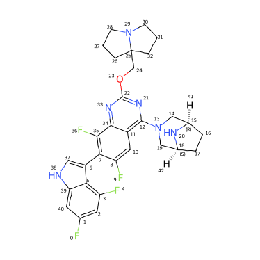 Fc1cc(F)c2c(-c3c(F)cc4c(N5C[C@H]6CC[C@@H](C5)N6)nc(OCC56CCCN5CCC6)nc4c3F)c[nH]c2c1